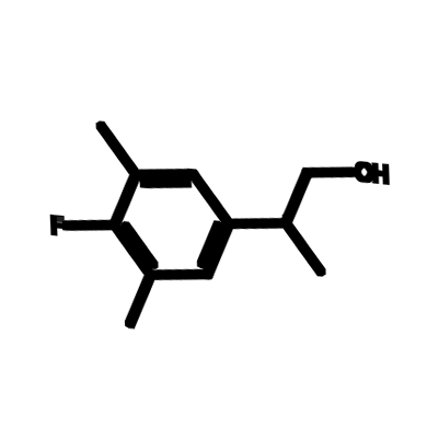 C[C](CO)c1cc(C)c(F)c(C)c1